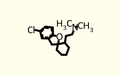 CN(C)CCC1CCCCC12Cc1cc(Cl)ccc1O2